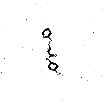 Cc1ccc(NC(=O)/C=C/SSc2ccccn2)cc1